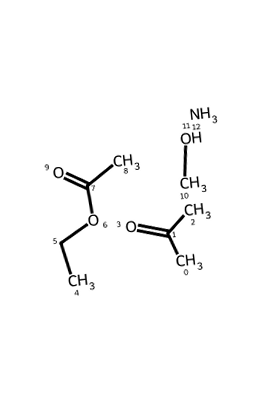 CC(C)=O.CCOC(C)=O.CO.N